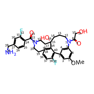 COc1cc2cc(c1)N(C(=O)CO)CCC[C@](O)([C@@H]1CCCN(C(=O)c3ccc(CN)cc3F)C1)c1cccc(F)c1-2